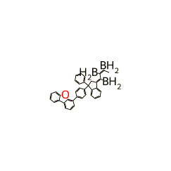 B/C(C)=C(B)/C(B)=C1\CC(c2ccccc2)(c2ccc(-c3cccc4c3oc3ccccc34)cc2)c2ccccc21